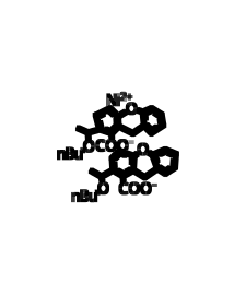 CCCCOC(C)c1ccc2c(c1C(=O)[O-])Cc1ccccc1O2.CCCCOC(C)c1ccc2c(c1C(=O)[O-])Cc1ccccc1O2.[Ni+2]